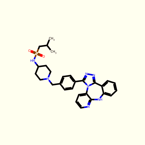 CC(C)CS(=O)(=O)NC1CCN(Cc2ccc(-c3nnc4n3-c3cccnc3Nc3ccccc3-4)cc2)CC1